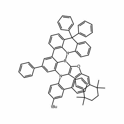 CC(C)(C)c1ccc(N2c3cc(-c4ccccc4)cc4c3B(c3oc5cc6c(cc5c32)C(C)(C)CCC6(C)C)N2c3ccccc3C(c3ccccc3)(c3ccccc3)c3cccc-4c32)c(-c2ccccc2)c1